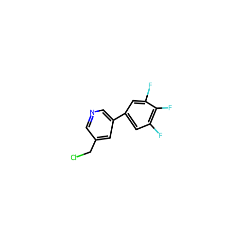 Fc1cc(-c2cncc(CCl)c2)cc(F)c1F